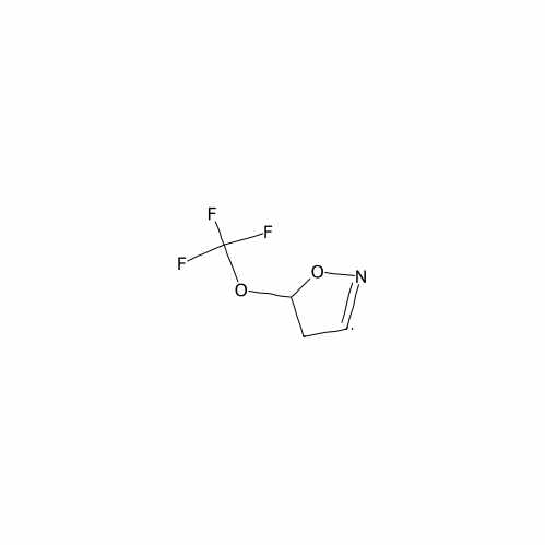 FC(F)(F)OC1C[C]=NO1